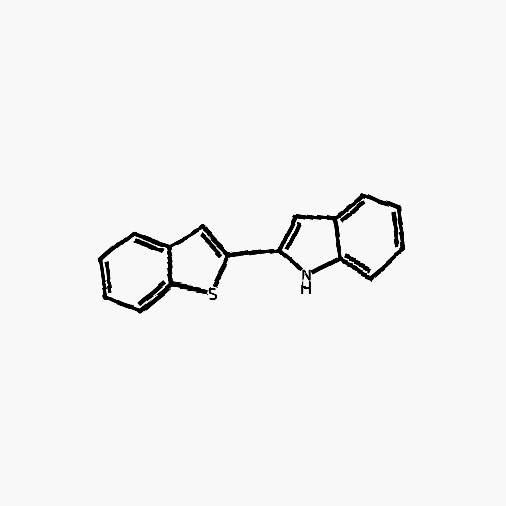 c1ccc2[nH]c(-c3cc4ccccc4s3)cc2c1